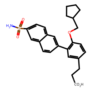 NS(=O)(=O)c1ccc2cc(-c3cc(CCC(=O)O)ccc3OCC3CCCC3)ccc2c1